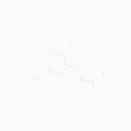 COc1cnc(OC)c(CNC(C)C)c1